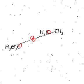 CCCCCCC(CCCCCCCCCCCCOC(=O)CCCCCCCCCCC(CCCCCC)OC)OC